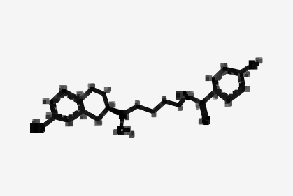 CN(CCCCNC(=O)c1ccc(Br)cc1)[C@@H]1CCc2ccc(O)cc2C1